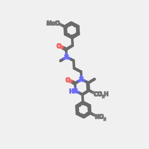 COc1cccc(CC(=O)N(C)CCCN2C(=O)NC(c3cccc([N+](=O)[O-])c3)C(C(=O)O)=C2C)c1